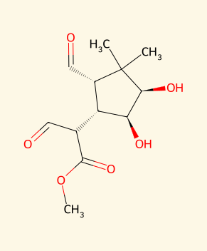 COC(=O)C(C=O)[C@H]1[C@H](O)[C@H](O)C(C)(C)[C@H]1C=O